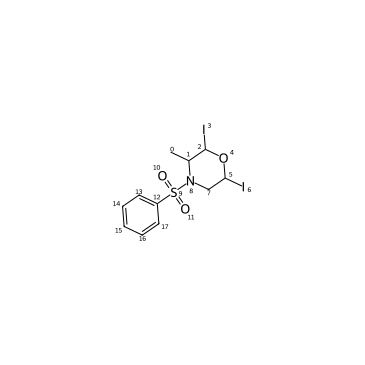 CC1C(I)OC(I)CN1S(=O)(=O)c1ccccc1